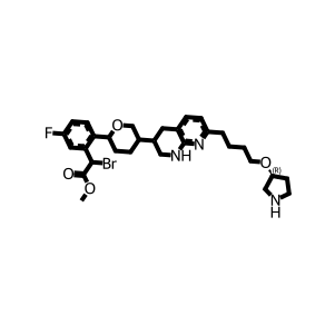 COC(=O)C(Br)c1cc(F)ccc1C1CCC(C2CNc3nc(CCCCO[C@@H]4CCNC4)ccc3C2)CO1